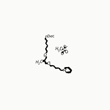 C=C(COCCCCCCCCCCCCCCCC)COCCCCC[n+]1ccccc1.CS(=O)(=O)[O-]